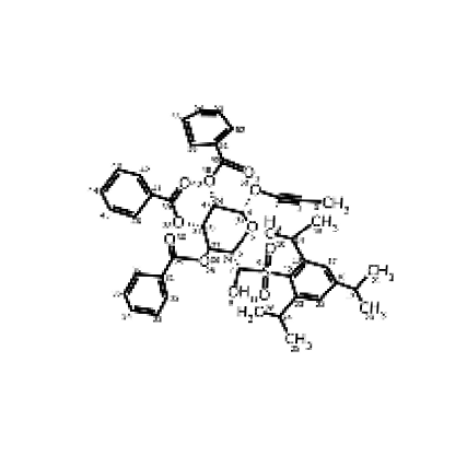 CC#CO[C@@H]1O[C@H](C(O)S(=O)(=O)c2c(C(C)C)cc(C(C)C)cc2C(C)C)[C@@H](OC(=O)c2ccccc2)[C@H](OC(=O)c2ccccc2)[C@@H]1OC(=O)c1ccccc1